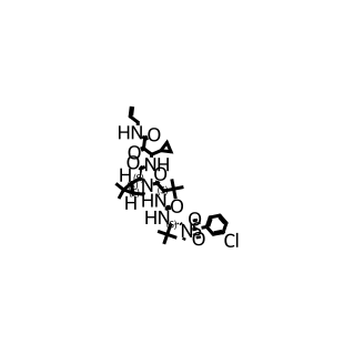 C=CCNC(=O)C(=O)C(NC(=O)[C@@H]1[C@@H]2[C@H](CN1C(=O)[C@@H](NC(=O)N[C@H](CN(C)S(=O)(=O)c1cccc(Cl)c1)C(C)(C)C)C(C)(C)C)C2(C)C)C1CC1